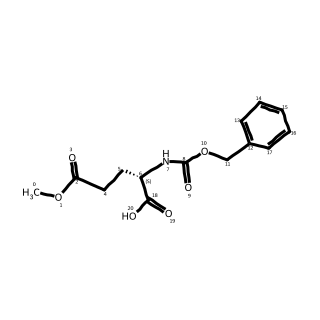 COC(=O)CC[C@H](NC(=O)OCc1ccccc1)C(=O)O